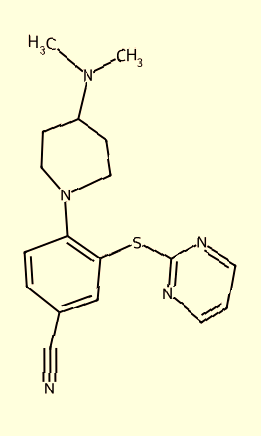 CN(C)C1CCN(c2ccc(C#N)cc2Sc2ncccn2)CC1